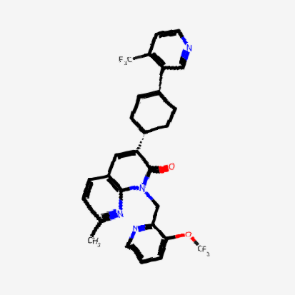 Cc1ccc2cc([C@H]3CC[C@H](c4cnccc4C(F)(F)F)CC3)c(=O)n(Cc3ncccc3OC(F)(F)F)c2n1